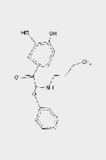 CCCCNC(Oc1ccccc1)C(=O)c1ccc(O)c(O)c1